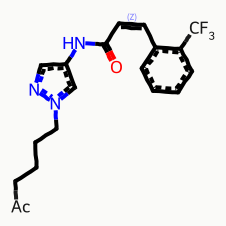 CC(=O)CCCCn1cc(NC(=O)/C=C\c2ccccc2C(F)(F)F)cn1